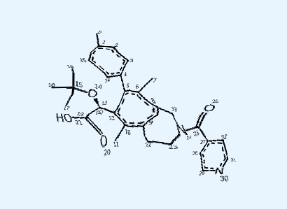 Cc1ccc(-c2c(C)c3c(c(C)c2[C@H](OC(C)(C)C)C(=O)O)CCN(C(=O)c2ccncc2)C3)cc1